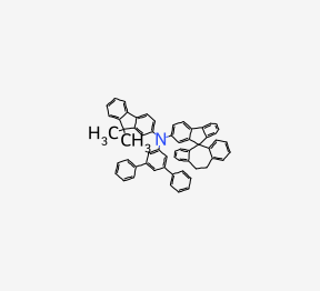 CC1(C)c2ccccc2-c2ccc(N(c3cc(-c4ccccc4)cc(-c4ccccc4)c3)c3ccc4c(c3)C3(c5ccccc5CCc5ccccc53)c3ccccc3-4)cc21